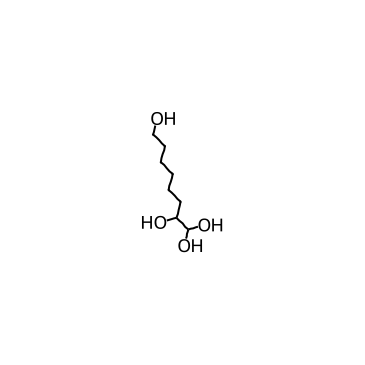 OCCCCCCC(O)C(O)O